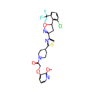 COc1ncccc1OCC(=O)N1CCC(c2nc(C3=NOC(c4c(Cl)cccc4C(F)(F)F)C3)cs2)CC1